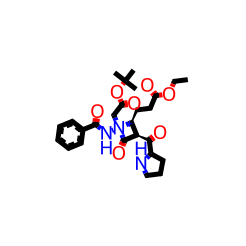 CCOC(=O)CC[C@H]1[C@@H](C(=O)C2CCCN2)C(=O)[N+]1(CC(=O)OC(C)(C)C)NC(=O)c1ccccc1